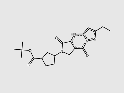 CCc1cc2[nH]c3c(c(=O)n2n1)CN(C1CCN(C(=O)OC(C)(C)C)C1)C3=O